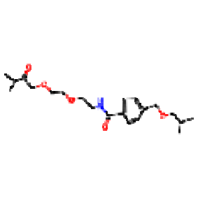 CC(C)COCc1ccc(C(=O)NCCOCCOCC(=O)C(C)C)cc1